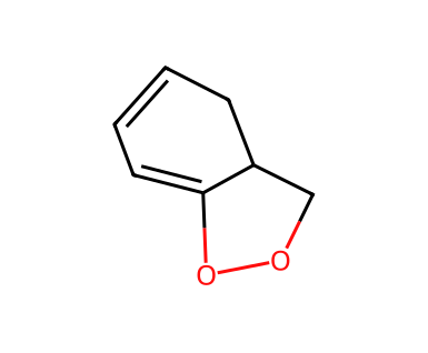 C1=CCC2COOC2=C1